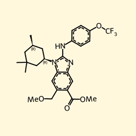 COCc1cc2c(cc1C(=O)OC)nc(Nc1ccc(OC(F)(F)F)cc1)n2[C@@H]1C[C@H](C)CC(C)(C)C1